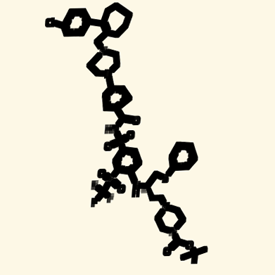 CC(C)(C)OC(=O)N1CCN(CC[C@H](CSc2ccccc2)Nc2ccc(S(=O)(=O)NC(=O)c3ccc(N4CCN(CC5=C(c6ccc(Cl)cc6)CCCCC5)CC4)cc3)cc2S(=O)(=O)C(F)(F)F)CC1